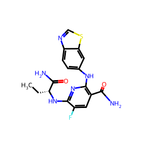 CC[C@@H](Nc1nc(Nc2ccc3ncsc3c2)c(C(N)=O)cc1F)C(N)=O